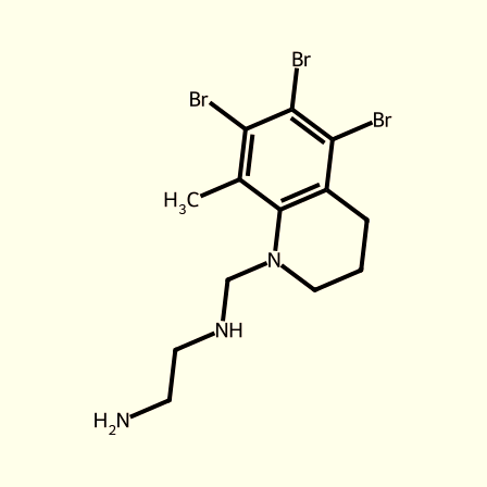 Cc1c(Br)c(Br)c(Br)c2c1N(CNCCN)CCC2